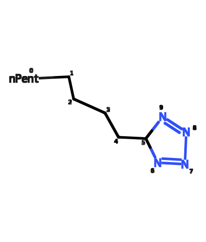 CCCCCCCCCC1N=NN=N1